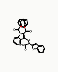 O=C(c1ccccc1)c1c(NC(C(=O)O)c2cc3ccccc3s2)c2ccccc2n1C(=O)c1ccccc1